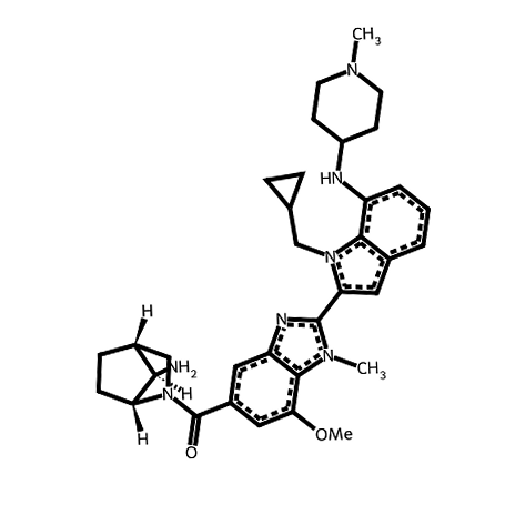 COc1cc(C(=O)N2C[C@H]3CC[C@@H]2[C@@H]3N)cc2nc(-c3cc4cccc(NC5CCN(C)CC5)c4n3CC3CC3)n(C)c12